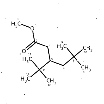 COC(=O)CC(CC(C)(C)C)C(C)(C)C